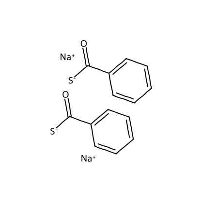 O=C([S-])c1ccccc1.O=C([S-])c1ccccc1.[Na+].[Na+]